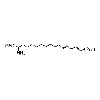 CCCCC/C=C/C/C=C/CCCCCCCCCC(N)CCCCCCCCCC